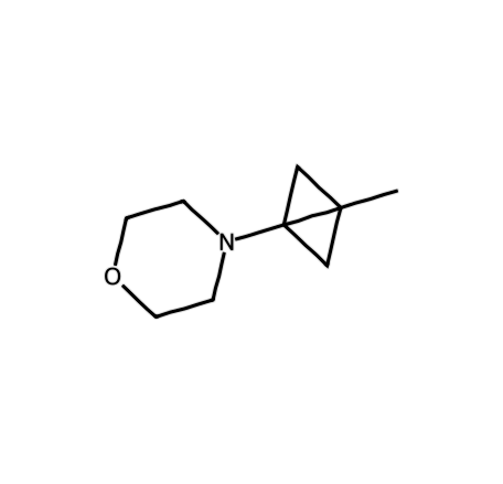 CC12CC1(N1CCOCC1)C2